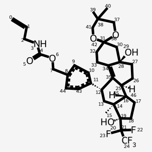 C=CCNC(=O)OCc1ccc([C@H]2C[C@@]3(C)[C@@H](CC[C@@]3(O)C(F)(F)C(F)(F)F)[C@@H]3CC[C@@]4(O)CC5(CCC4=C32)OCC(C)(C)CO5)cc1